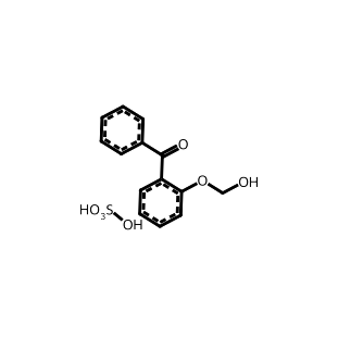 O=C(c1ccccc1)c1ccccc1OCO.O=S(=O)(O)O